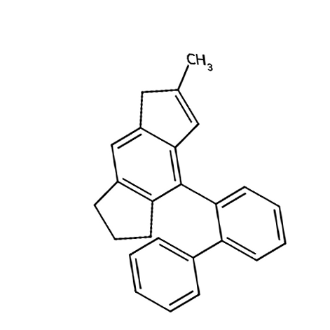 CC1=Cc2c(cc3c(c2-c2ccccc2-c2ccccc2)CCC3)C1